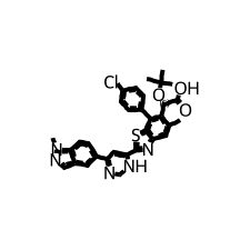 Cc1cc2nc(C3=CC(c4ccc5c(cnn5C)c4)=NCN3)sc2c(-c2ccc(Cl)cc2)c1[C@H](OC(C)(C)C)C(=O)O